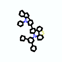 c1ccc(-c2cc(-c3ccccc3)cc(N(c3ccc(-c4ccc5c6ccc7ccccc7c6n(-c6ccccc6)c5c4)cc3)c3cccc4sc5ccccc5c34)c2)cc1